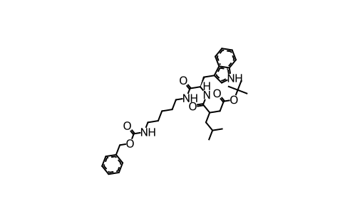 CC(C)CC(CC(=O)OC(C)(C)C)C(=O)N[C@H](Cc1c[nH]c2ccccc12)C(=O)NCCCCCNC(=O)OCc1ccccc1